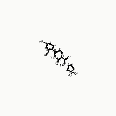 O=C(N[C@@H]1C=CS(=O)(=O)C1)c1ccc(-c2ccc(F)cc2F)[nH]c1=O